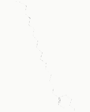 CCCCCCCCCCCCCCCCCc1ccc(I)cc1